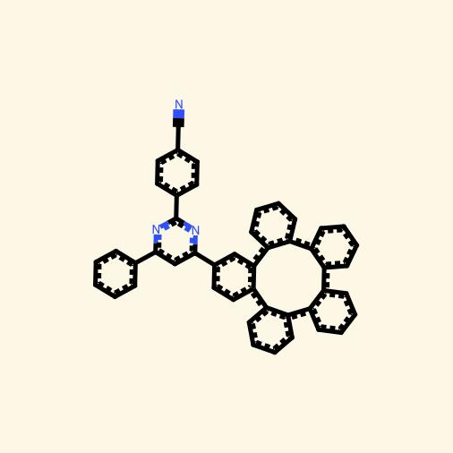 N#Cc1ccc(-c2nc(-c3ccccc3)cc(-c3ccc4c5ccccc5c5ccccc5c5ccccc5c5ccccc5c4c3)n2)cc1